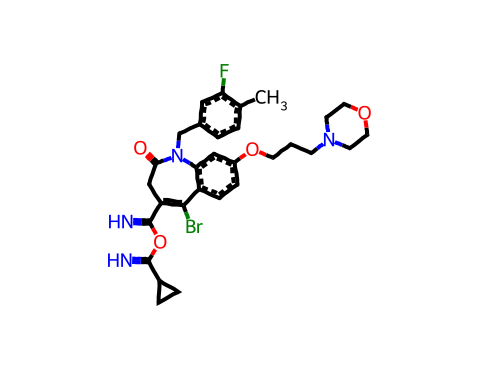 Cc1ccc(CN2C(=O)CC(C(=N)OC(=N)C3CC3)=C(Br)c3ccc(OCCCN4CCOCC4)cc32)cc1F